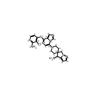 Nc1nccc(Sc2ncc(N3CCC4(CC3)Cn3nccc3C4N)n3cncc23)c1Cl